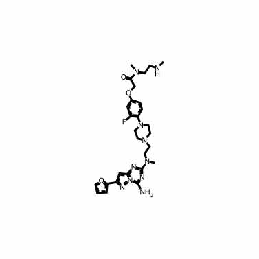 CNCCN(C)C(=O)COc1ccc(N2CCN(CCN(C)c3nc(N)n4nc(-c5ccco5)cc4n3)CC2)c(F)c1